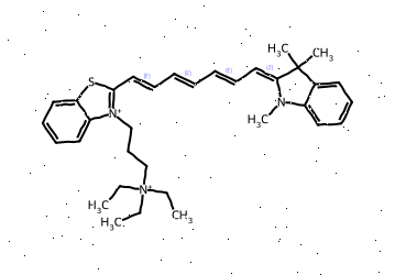 CC[N+](CC)(CC)CCC[n+]1c(/C=C/C=C/C=C/C=C2\N(C)c3ccccc3C2(C)C)sc2ccccc21